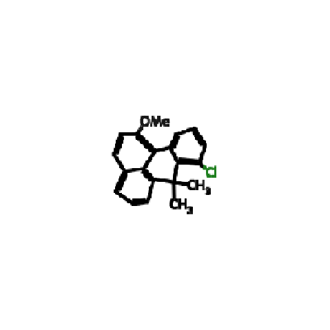 COc1ccc2cccc3c2c1-c1cccc(Cl)c1C3(C)C